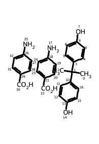 CC(C)(c1ccc(O)cc1)c1ccc(O)cc1.Nc1ccc(C(=O)O)cc1.Nc1ccc(C(=O)O)cc1